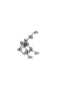 CC(C)CCCCCC(=O)OCCCCCC(=O)OCC(COC(=O)CCCCCOC(=O)CCCCCC(C)C)(COC(=O)CCCCCOC(=O)CCCCCC(C)C)COC(=O)CCCCCOC(=O)CCCCCC(C)C